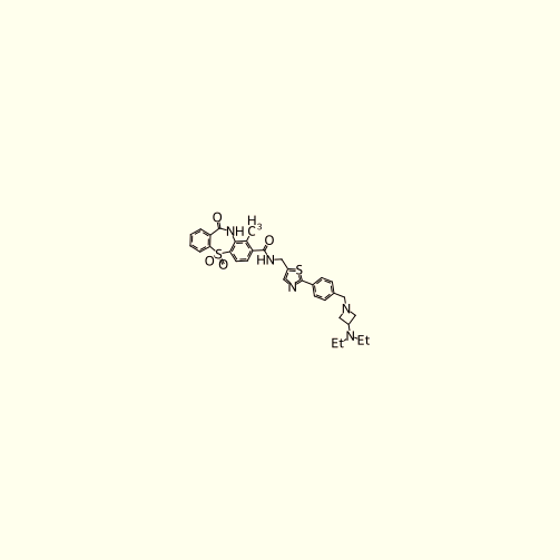 CCN(CC)C1CN(Cc2ccc(-c3ncc(CNC(=O)c4ccc5c(c4C)NC(=O)c4ccccc4S5(=O)=O)s3)cc2)C1